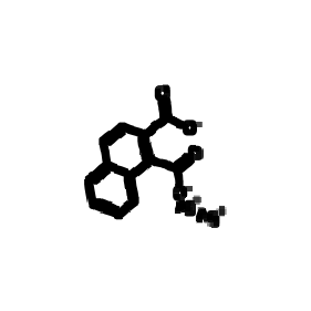 O=C([O-])c1ccc2ccccc2c1C(=O)[O-].[Ag+].[Ag+]